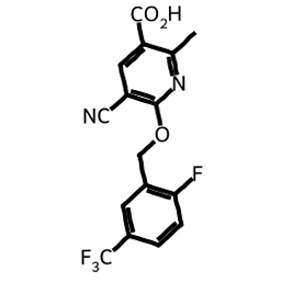 Cc1nc(OCc2cc(C(F)(F)F)ccc2F)c(C#N)cc1C(=O)O